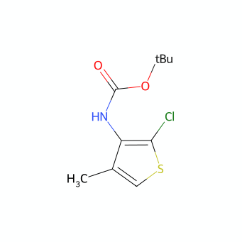 Cc1csc(Cl)c1NC(=O)OC(C)(C)C